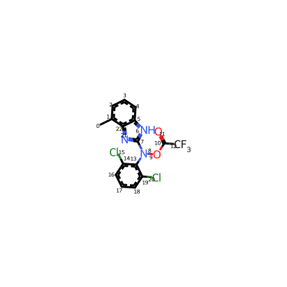 Cc1cccc2[nH]c(N(OC(=O)C(F)(F)F)c3c(Cl)cccc3Cl)nc12